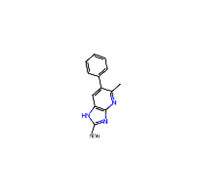 CCCCc1nc2nc(C)c(-c3ccccc3)cc2[nH]1